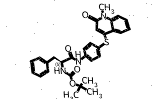 Cn1c(=O)cc(Sc2ccc(NC(=O)[C@H](Cc3ccccc3)NC(=O)OC(C)(C)C)cc2)c2ccccc21